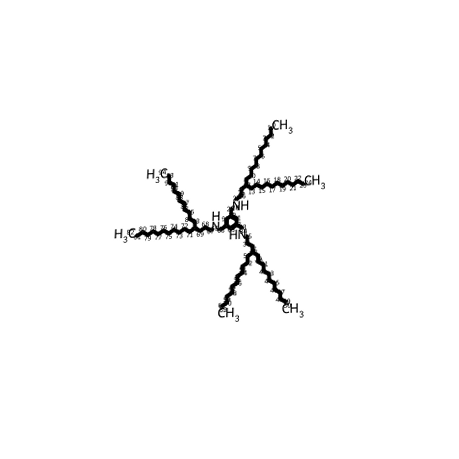 CCCCCCCCCCCCC(CCCCCCCCCCCC)CCCNCc1cc(CNCCCC(CCCCCCCCCCCC)CCCCCCCCCCCC)cc(CNCCCC(CCCCCCCCCCCC)CCCCCCCCCCCC)c1